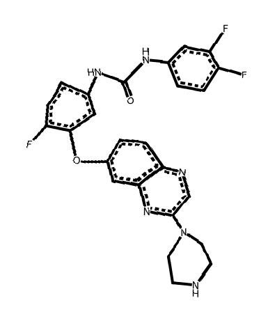 O=C(Nc1ccc(F)c(F)c1)Nc1ccc(F)c(Oc2ccc3ncc(N4CCNCC4)nc3c2)c1